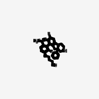 NC(=O)c1ccc(OCCCO)c(F)c1-c1c(Cl)c(F)cc2c1CC1(c3ccccc3)CNCCN21